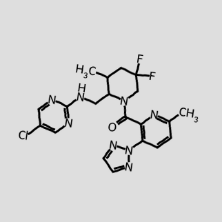 Cc1ccc(-n2nccn2)c(C(=O)N2CC(F)(F)CC(C)C2CNc2ncc(Cl)cn2)n1